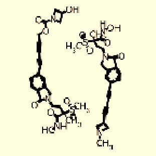 CN1CC(C#CC#Cc2ccc3c(c2)CN(CC[C@](C)(C(=O)NO)S(C)(=O)=O)C3=O)C1.C[C@@](CCN1Cc2cc(C#CC#CCOC(=O)N3CC(O)C3)ccc2C1=O)(C(=O)NO)S(C)(=O)=O